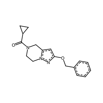 O=C(C1CC1)N1CCn2nc(OCc3ccccc3)cc2C1